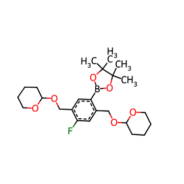 CC1(C)OB(c2cc(COC3CCCCO3)c(F)cc2COC2CCCCO2)OC1(C)C